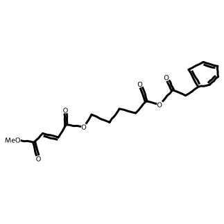 COC(=O)/C=C/C(=O)OCCCCC(=O)OC(=O)Cc1ccccc1